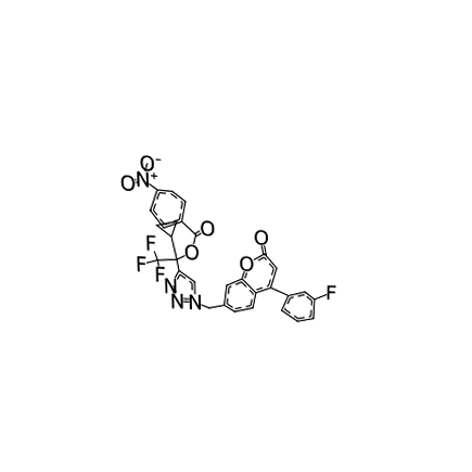 O=C(OC(c1cn(Cc2ccc3c(-c4cccc(F)c4)cc(=O)oc3c2)nn1)(C1CC1)C(F)(F)F)c1ccc([N+](=O)[O-])cc1